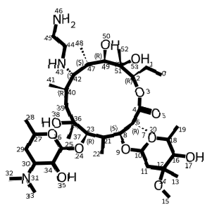 CC[C@H]1OC(=O)[C@H](C)[C@@H](OC2CC(C)(OC)C(O)C(C)O2)C(C)[C@@H](OC2OC(C)CC(N(C)C)C2O)[C@](C)(O)C[C@@H](C)[C@H](NCCN)[C@H](C)[C@@H](O)[C@]1(C)O